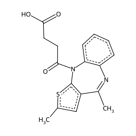 CC1=Nc2ccccc2N(C(=O)CCC(=O)O)c2sc(C)cc21